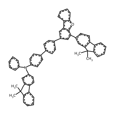 CC1(C)c2ccccc2-c2ccc(-c3cc(-c4ccc(-c5ccc(N(c6ccccc6)c6ccc7c(c6)C(C)(C)c6ccccc6-7)cc5)cc4)cc4c3oc3ccccc34)cc21